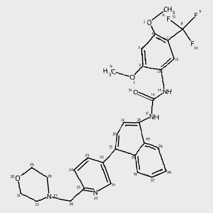 COc1cc(OC)c(C(F)(F)F)cc1NC(=O)Nc1ccc(-c2ccc(CN3CCOCC3)nc2)c2ccccc12